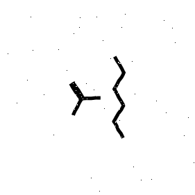 C=C(C)C.CCCCCC